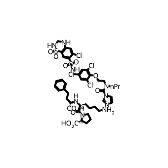 CCCN(CCOc1c(Cl)cc(Cl)cc1Cl)C(=O)n1ccnc1.NCCCC[C@H](N[C@@H](CCc1ccccc1)C(=O)O)C(=O)N1CCC[C@H]1C(=O)O.NS(=O)(=O)c1cc2c(cc1Cl)NCNS2(=O)=O